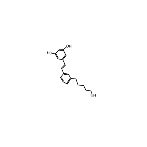 OCCCCCc1cccc(C=Cc2cc(O)cc(O)c2)c1